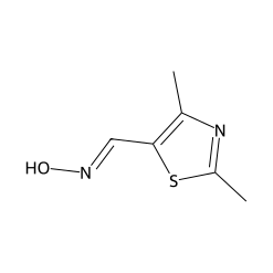 Cc1nc(C)c(C=NO)s1